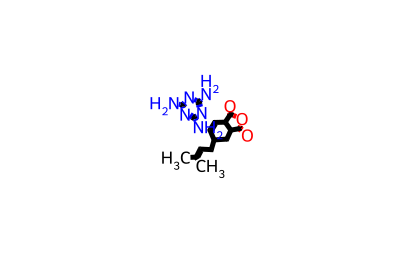 CC(C)=CCC1C=CC2C(=O)OC(=O)C2C1.Nc1nc(N)nc(N)n1